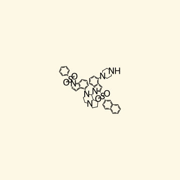 O=S(=O)(c1ccc2ccccc2c1)c1cc2c(N3CCNCC3)cccc2n1C1C2CCCN2CCN1c1cccc2c1ccn2S(=O)(=O)c1ccccc1